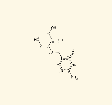 Nc1ncn(COC(CO)C(O)CO)c(=O)n1